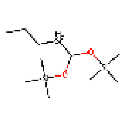 C[CH]C[SiH2]C(O[Si](C)(C)C)O[Si](C)(C)C